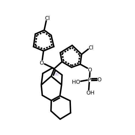 O=P(O)(O)Oc1cc(/C(Oc2ccc(Cl)cc2)=C2/C3CCCC2C2=C(CCCC2)C3)ccc1Cl